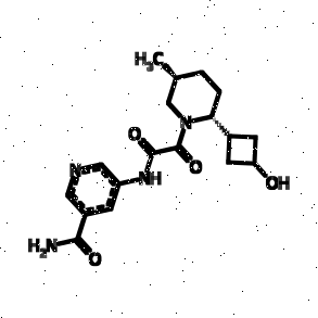 C[C@H]1CC[C@H](C2CC(O)C2)N(C(=O)C(=O)Nc2cncc(C(N)=O)c2)C1